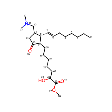 CCCCCCC=C[C@H]1[C@H](CN(C)C)CC(=O)[C@@H]1CCCCCC(O)C(=O)OC